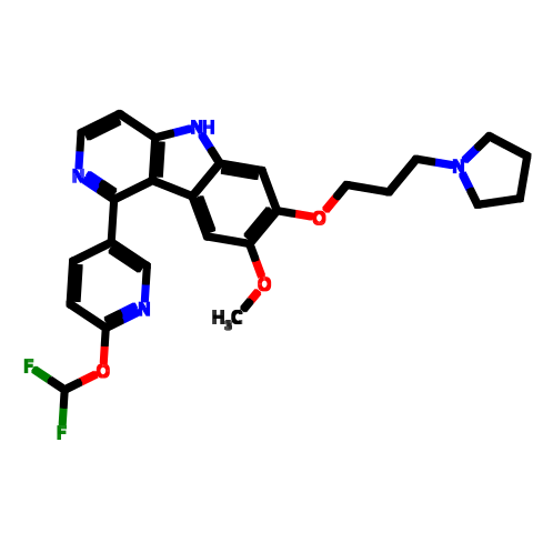 COc1cc2c(cc1OCCCN1CCCC1)[nH]c1ccnc(-c3ccc(OC(F)F)nc3)c12